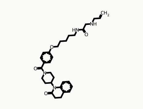 C=CCNCC(=O)NCCCCCOc1ccc(C(=O)N2CCC(N3C(=O)CCc4ccccc43)CC2)cc1